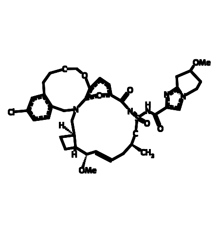 COC1CCn2cc(C(=O)NS3(=O)=NC(=O)c4ccc5c(c4)N(Cc4ccc(Cl)cc4CCCCO5)C[C@@H]4CC[C@H]4[C@@H](OC)/C=C/C[C@H](C)C3)nc2C1